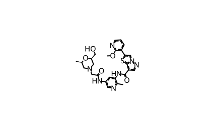 COc1ncccc1-c1cn2ncc(C(=O)Nc3cc(NC(=O)CN4C[C@H](CO)O[C@H](C)C4)cnc3C)c2s1